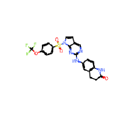 O=C1CCc2cc(Nc3ncc4ccn(S(=O)(=O)c5ccc(OC(F)(F)F)cc5)c4n3)ccc2N1